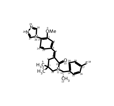 COc1cc(/C=C2\CC(C)(C)CN([C@@H](C)c3ccc(F)cc3)C2=O)ccc1-n1cnnc1